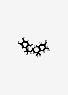 Cc1cc2c(cc1C)C(C)(C)CC1(CC(C)(C)c3cc(C)c(C)cc3O1)O2